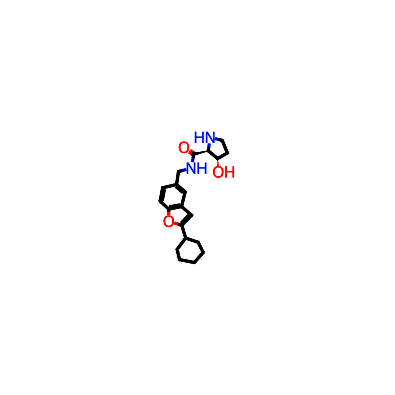 O=C(NCc1ccc2oc(C3CCCCC3)cc2c1)[C@H]1NCC[C@@H]1O